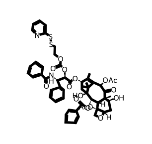 CC(=O)O[C@H]1C(=O)[C@@]2(C)[C@H]([C@H](OC(=O)c3ccccc3)[C@]3(O)C[C@H](OC(=O)[C@H](OC(=O)OCCSSc4ccccn4)[C@@H](NC(=O)c4ccccc4)c4ccccc4)C(C)=C1C3(C)C)[C@]1(OC(C)=O)CO[C@@H]1C[C@@H]2O